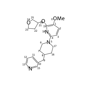 COc1ccc(N2CCC(Cc3cccnc3)CC2)nc1OC1CCOC1